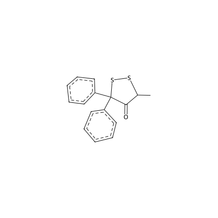 CC1SSC(c2ccccc2)(c2ccccc2)C1=O